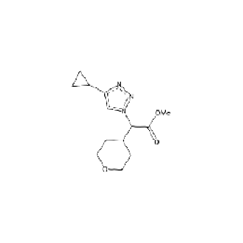 COC(=O)C(C1CCOCC1)n1cc(C2CC2)nn1